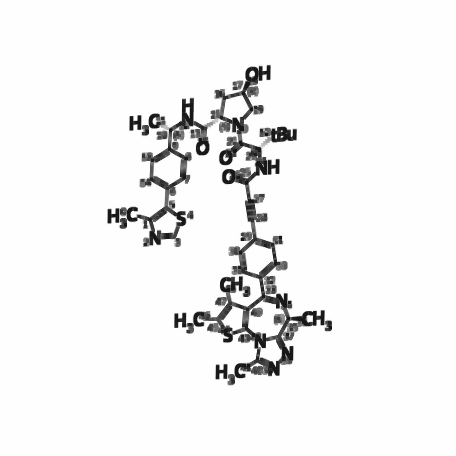 Cc1ncsc1-c1ccc([C@H](C)NC(=O)[C@@H]2C[C@@H](O)CN2C(=O)[C@@H](NC(=O)C#Cc2ccc(C3=N[C@@H](C)c4nnc(C)n4-c4sc(C)c(C)c43)cc2)C(C)(C)C)cc1